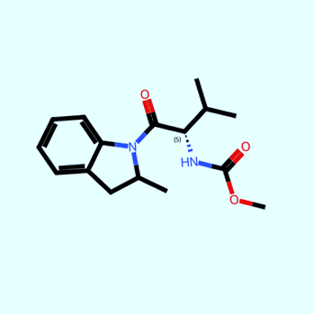 COC(=O)N[C@H](C(=O)N1c2ccccc2CC1C)C(C)C